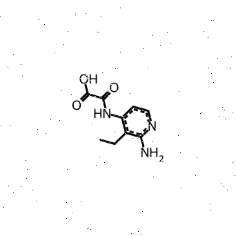 CCc1c(NC(=O)C(=O)O)ccnc1N